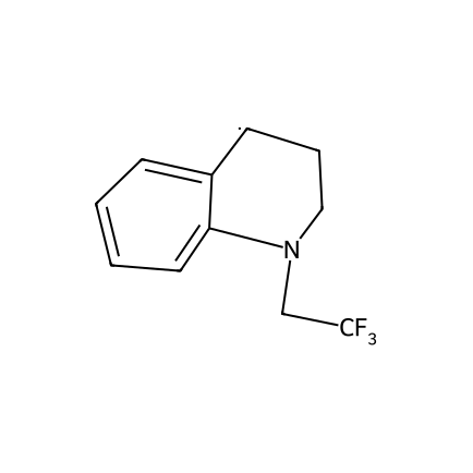 FC(F)(F)CN1CC[CH]c2ccccc21